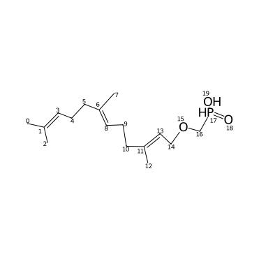 CC(C)=CCCC(C)=CCCC(C)=CCOC[PH](=O)O